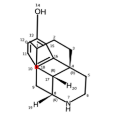 CC1CC[C@]23CCN[C@H](Cc4ccc(O)cc42)[C@@H]3C1